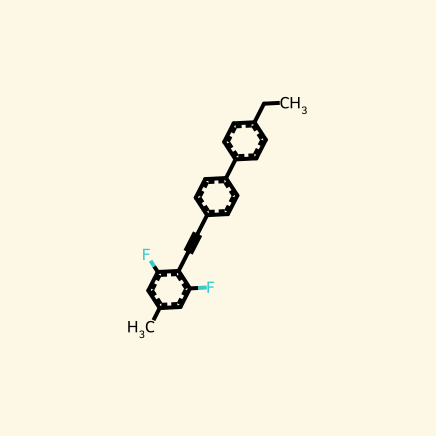 CCc1ccc(-c2ccc(C#Cc3c(F)cc(C)cc3F)cc2)cc1